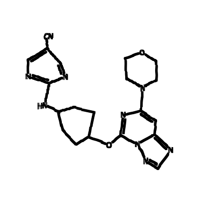 N#Cc1cnc(NC2CCC(Oc3nc(N4CCOCC4)cc4ncnn34)CC2)nc1